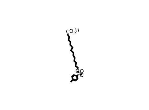 Cc1ccc(S(=O)(=O)OCCCCCCCCCCCCCCC(=O)O)cc1